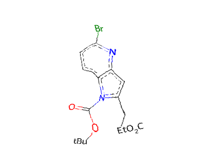 CCOC(=O)Cc1cc2nc(Br)ccc2n1C(=O)OC(C)(C)C